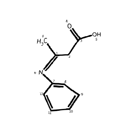 CC(CC(=O)O)=Nc1ccccc1